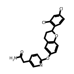 NC(=O)Cc1ccc(Oc2ccc3c(c2)CCC(c2ccc(Cl)cc2Cl)O3)nc1